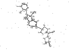 Cc1nccc(-c2[nH]c3ccc(C4CCN(C(=O)C5CC(=O)N(C)C5)CC4)cc3c2C(C)C)c1F